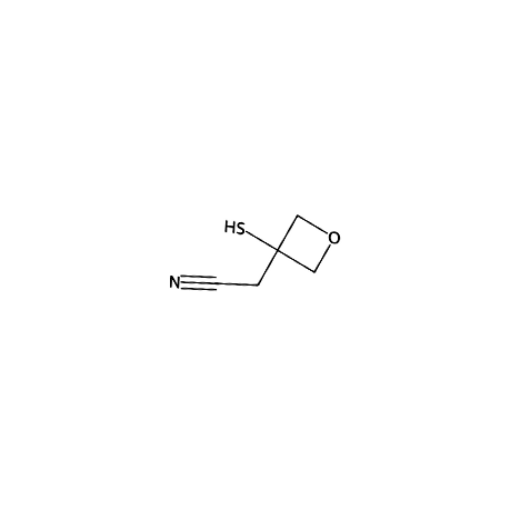 N#CCC1(S)COC1